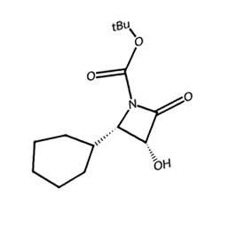 CC(C)(C)OC(=O)N1C(=O)[C@H](O)[C@@H]1C1CCCCC1